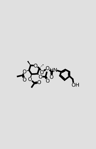 CC(=O)O[C@H]1[C@H](OC(C)=O)[C@@H](C)O[C@@](C)(OOC(=O)Nc2ccc(CO)cc2)[C@@H]1OC(C)=O